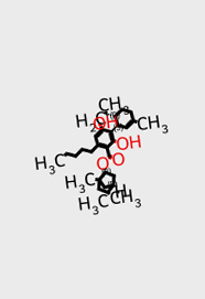 C=C(C)[C@@H]1CCC(C)=C[C@H]1c1c(O)cc(CCCCC)c(C(=O)O[C@@H]2C[C@H]3CC2(C)CC3(C)C)c1O